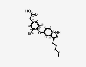 CCCCCc1c[nH]c2ccc(Oc3c(C)cc(CC(=O)O)cc3Br)cc12